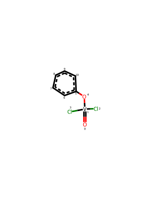 [O]=[V]([Cl])([Cl])[O]c1ccccc1